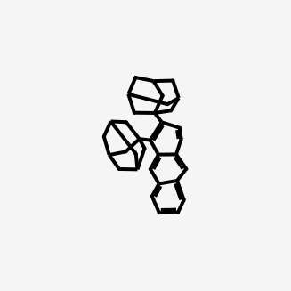 c1ccc2cc3c(C45CC6CC(CC(C6)C4)C5)c(C45CC6CC(CC(C6)C4)C5)ccc3cc2c1